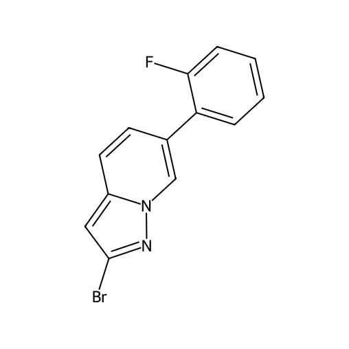 Fc1ccccc1-c1ccc2cc(Br)nn2c1